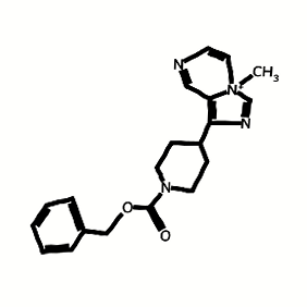 C[N+]12C=CN=CC1=C(C1CCN(C(=O)OCc3ccccc3)CC1)N=C2